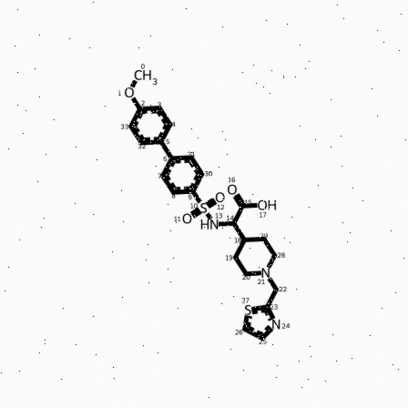 COc1ccc(-c2ccc(S(=O)(=O)NC(C(=O)O)C3CCN(Cc4nccs4)CC3)cc2)cc1